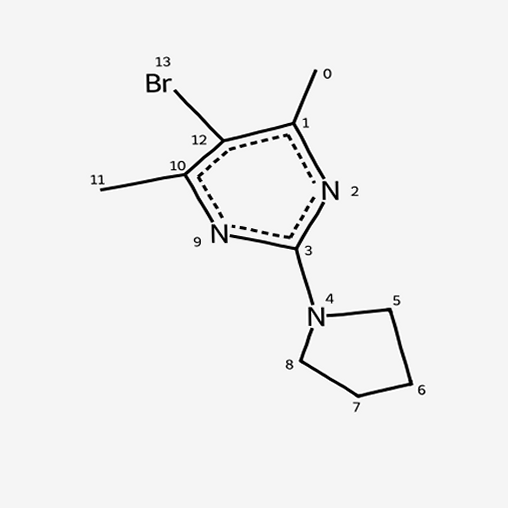 Cc1nc(N2CCCC2)nc(C)c1Br